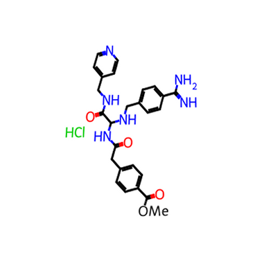 COC(=O)c1ccc(CC(=O)NC(NCc2ccc(C(=N)N)cc2)C(=O)NCc2ccncc2)cc1.Cl